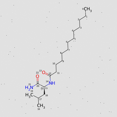 CCCCCCCCCCCCC(=O)N[C@@H](CC(C)C)C(N)=O